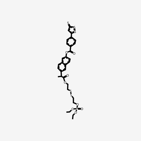 CCOP(=O)(OCC)OCCSSCCOC(=O)C(C)c1ccc2cc(OC(=O)c3ccc(-c4cc(=S)ss4)cc3)ccc2c1